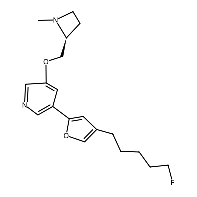 CN1CC[C@H]1COc1cncc(-c2cc(CCCCCF)co2)c1